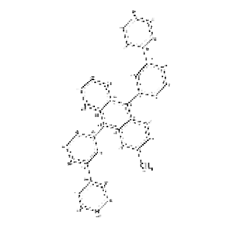 Cc1ccc2c(-c3cccc(-c4ccncc4)c3)c3ccccc3c(-c3cccc(-c4ccncc4)c3)c2c1